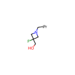 CC(C)CN1CC(F)(CO)C1